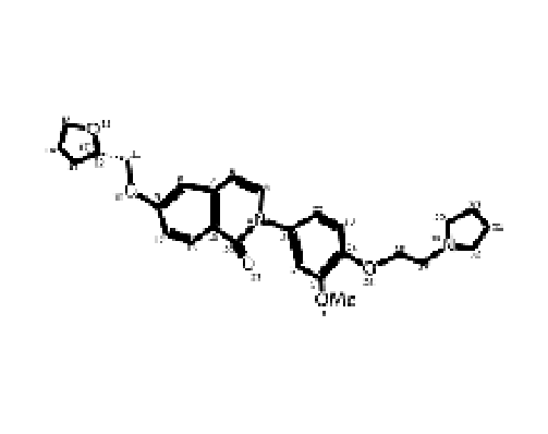 COc1cc(-n2ccc3cc(OC[C@@H]4CCCO4)ccc3c2=O)ccc1OCCN1CCCC1